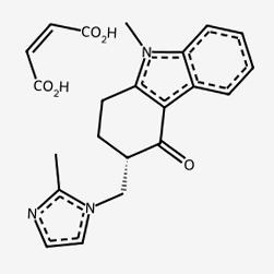 Cc1nccn1C[C@@H]1CCc2c(c3ccccc3n2C)C1=O.O=C(O)/C=C\C(=O)O